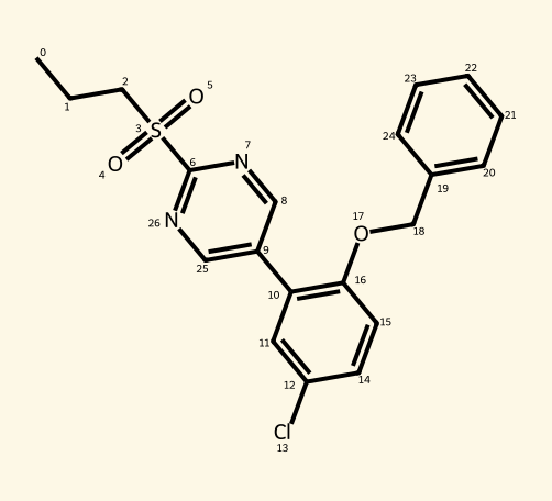 CCCS(=O)(=O)c1ncc(-c2cc(Cl)ccc2OCc2ccccc2)cn1